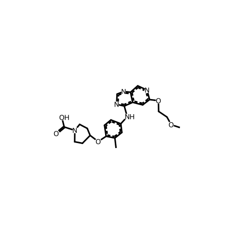 COCCOc1cc2c(Nc3ccc(OC4CCN(C(=O)O)CC4)c(C)c3)ncnc2cn1